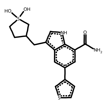 NC(=O)c1cc(-c2ccsc2)cc2c(CC3CCS(O)(O)C3)c[nH]c12